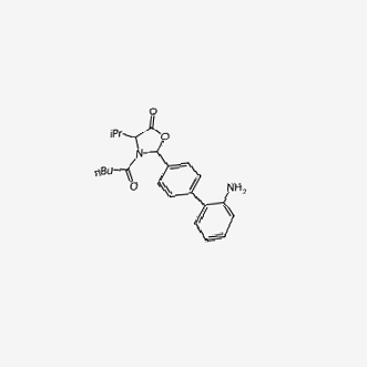 CCCCC(=O)N1C(c2ccc(-c3ccccc3N)cc2)OC(=O)C1C(C)C